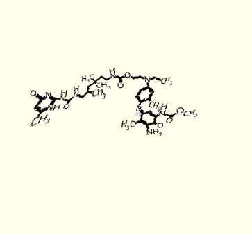 CCN(CCOC(=O)NCCC(C)(C)CC(C)CNC(=O)Nc1nc(=O)cc(C)[nH]1)c1ccc(/N=C2\C=C(NC(=O)OC)C(=O)C(N)=C2C)c(C)c1